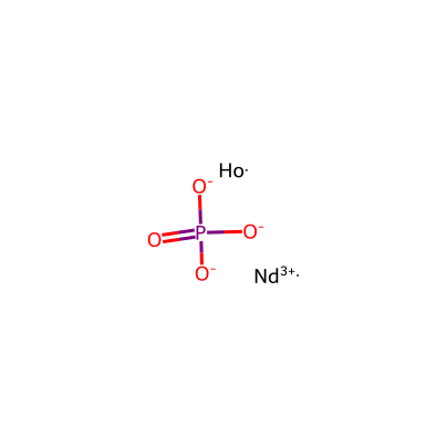 O=P([O-])([O-])[O-].[Ho].[Nd+3]